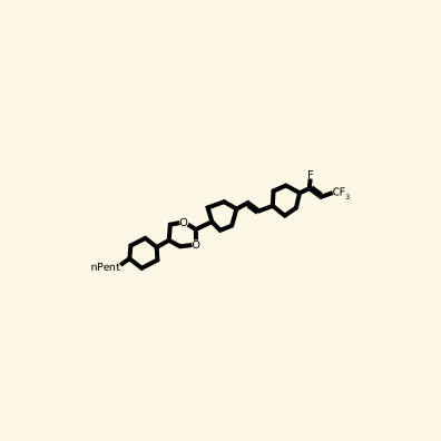 CCCCCC1CCC(C2COC(C3CCC(/C=C/C4CCC(/C(F)=C/C(F)(F)F)CC4)CC3)OC2)CC1